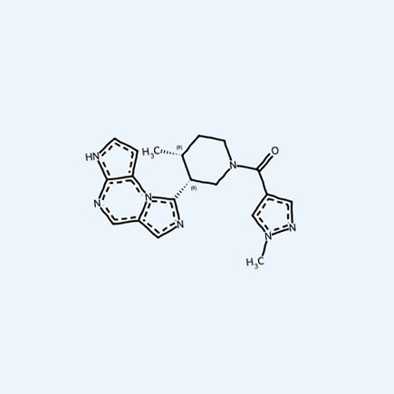 C[C@@H]1CCN(C(=O)c2cnn(C)c2)C[C@@H]1c1ncc2cnc3[nH]ccc3n12